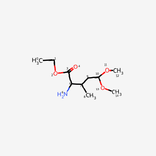 CCOC(=O)C(N)C(C)CC(OC)OC